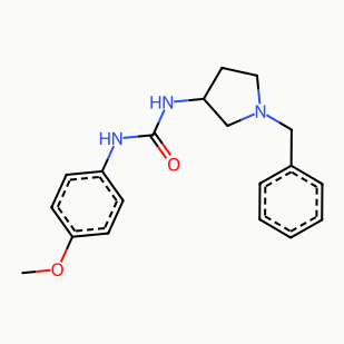 COc1ccc(NC(=O)NC2CCN(Cc3ccccc3)C2)cc1